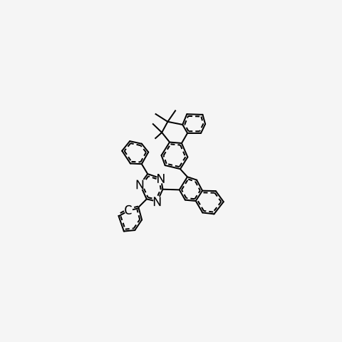 CC1(C)c2ccccc2-c2cc(-c3cc4ccccc4cc3-c3nc(-c4ccccc4)nc(-c4ccccc4)n3)ccc2C1(C)C